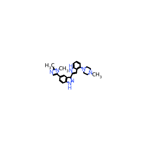 Cc1ncc(-c2ccc3[nH]nc(-c4cc5c(N6CCN(C)CC6)cccc5[nH]4)c3c2)n1C